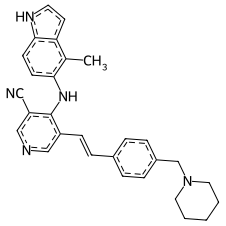 Cc1c(Nc2c(C#N)cncc2C=Cc2ccc(CN3CCCCC3)cc2)ccc2[nH]ccc12